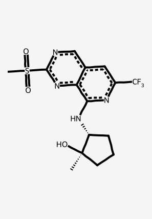 C[C@@]1(O)CCC[C@H]1Nc1nc(C(F)(F)F)cc2cnc(S(C)(=O)=O)nc12